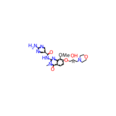 COc1c(OC[C@H](O)CN2CCOCC2)ccc2c(=O)n(C)c(NC(=O)c3cnc(N)nc3)nc12